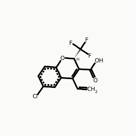 C=CC1=C(C(=O)O)[C@@H](C(F)(F)F)Oc2ccc(Cl)cc21